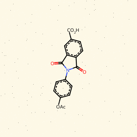 CC(=O)Oc1ccc(N2C(=O)c3ccc(C(=O)O)cc3C2=O)cc1